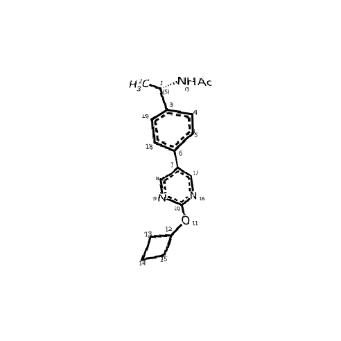 CC(=O)N[C@@H](C)c1ccc(-c2cnc(OC3CCC3)nc2)cc1